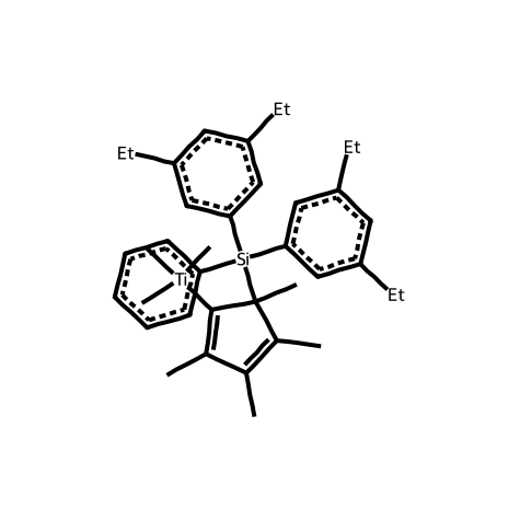 CCc1cc(CC)cc([Si](c2ccccc2)(c2cc(CC)cc(CC)c2)C2(C)C(C)=C(C)C(C)=[C]2[Ti]([CH3])([CH3])[CH3])c1